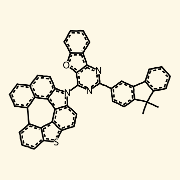 CC1(C)c2ccccc2-c2cc(-c3nc(-n4c5ccc6cccc7c6c5c5c6c(ccc54)sc4cccc-7c46)c4oc5ccccc5c4n3)ccc21